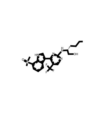 CCCC[C@H](CO)Nc1ncc(C(F)(F)F)c(-c2c[nH]c3c(P(C)(C)=O)cccc23)n1